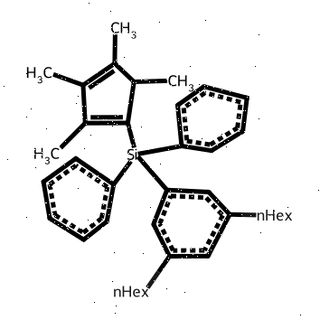 CCCCCCc1cc(CCCCCC)cc([Si](C2=C(C)C(C)=C(C)C2C)(c2ccccc2)c2ccccc2)c1